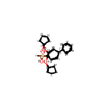 CS(=O)(=O)C1(OC2CCCC2)C=CC(c2ccccc2)C=C1OC1CCCC1